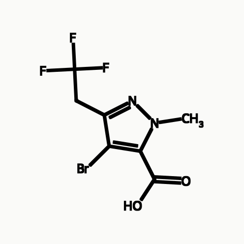 Cn1nc(CC(F)(F)F)c(Br)c1C(=O)O